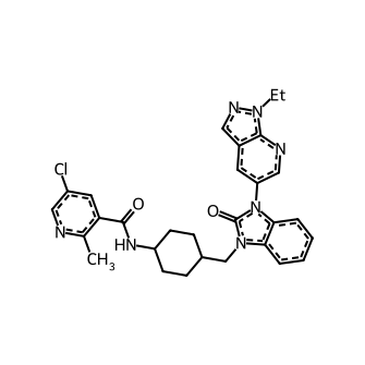 CCn1ncc2cc(-n3c(=O)n(CC4CCC(NC(=O)c5cc(Cl)cnc5C)CC4)c4ccccc43)cnc21